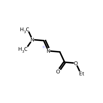 CCOC(=O)C/N=C/N(C)C